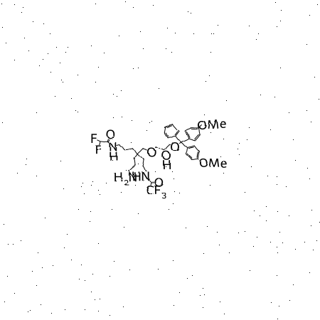 COc1ccc(C(OCC(O)COCC(CCCN)(CCCNC(=O)C(F)F)CCCNC(=O)C(F)(F)F)(c2ccccc2)c2ccc(OC)cc2)cc1